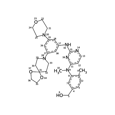 Cc1ccc(CO)cc1N(C)c1ccnc(Nc2cc(N3CCOCC3)cc(N3CCC4(CC3)OCCO4)c2)n1